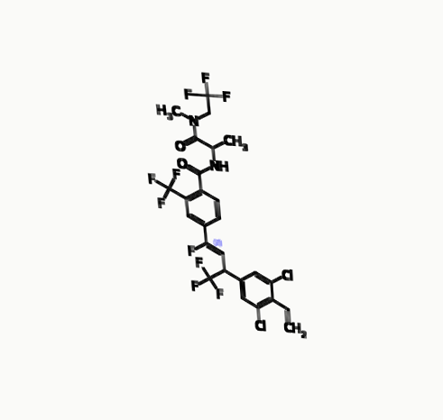 C=Cc1c(Cl)cc(C(/C=C(\F)c2ccc(C(=O)NC(C)C(=O)N(C)CC(F)(F)F)c(C(F)(F)F)c2)C(F)(F)F)cc1Cl